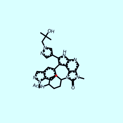 CC(=O)NC1CCC(n2c(=O)n(C)c3cnc4[nH]c(-c5cnn(CC(C)(C)O)c5)c(-c5ccc6c(cnn6C)c5)c4c32)CC1